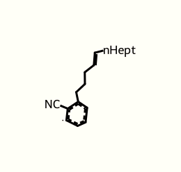 CCCCCCCC=CCCCc1ccc[c]c1C#N